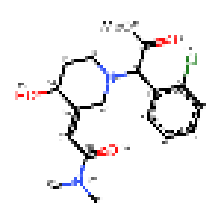 COC(=O)C(c1ccccc1Cl)N1CCC(O)C(=CC(=O)N(C)C)C1